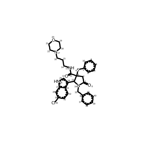 O=C1CC(Sc2ccccc2)(C(=O)NCCCN2CCOCC2)C(c2c[nH]c3cc(Cl)ccc23)N1Cc1ccccc1